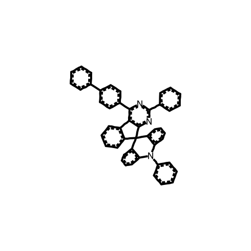 c1ccc(-c2ccc(-c3nc(-c4ccccc4)nc4c3-c3ccccc3C43c4ccccc4N(c4ccccc4)c4ccccc43)cc2)cc1